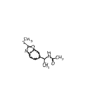 CSc1nc2ccc(C(C)NC(C)=O)cc2o1